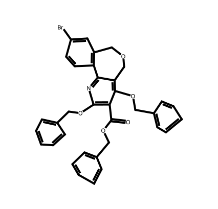 O=C(OCc1ccccc1)c1c(OCc2ccccc2)nc2c(c1OCc1ccccc1)COCc1cc(Br)ccc1-2